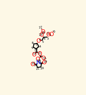 COOCC(COC1CCC(C(=O)OC(=O)ON2C(=O)CCC2=O)C1)OOC